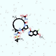 COc1cc2ccnc(O[C@@H]3C[C@H]4C(=O)N[C@]5(C(=O)NS(=O)(=O)C6(C)CC6)C[C@H]5C=CCC[C@@H](C)C[C@@H](C)[C@H](NC(=O)O)C(=O)N4C3)c2cc1F